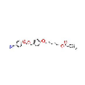 C=CC(=O)OCCCCCCOc1ccc(COCOc2ccc(C#N)cc2)cc1